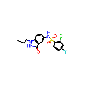 CCCn1[nH]c(=O)c2cc(NS(=O)(=O)c3ccc(F)cc3Cl)ccc21